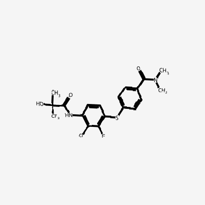 CN(C)C(=O)c1ccc(Sc2ccc(NC(=O)[C@@](C)(O)C(F)(F)F)c(Cl)c2F)cc1